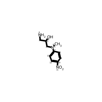 CN(CC(O)CN)c1ccc([N+](=O)[O-])cc1